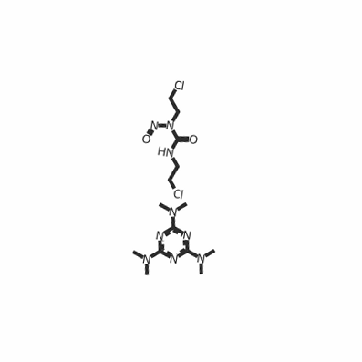 CN(C)c1nc(N(C)C)nc(N(C)C)n1.O=NN(CCCl)C(=O)NCCCl